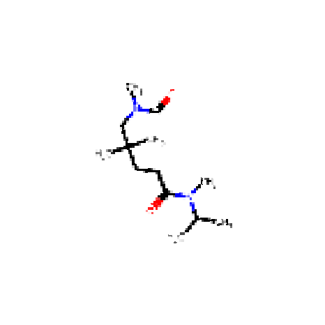 CC(C)N(C)C(=O)CCC(C)(C)CN(C)C=O